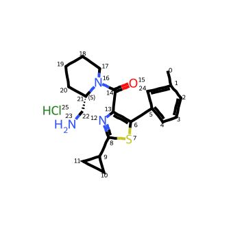 Cc1cccc(-c2sc(C3CC3)nc2C(=O)N2CCCC[C@H]2CN)c1.Cl